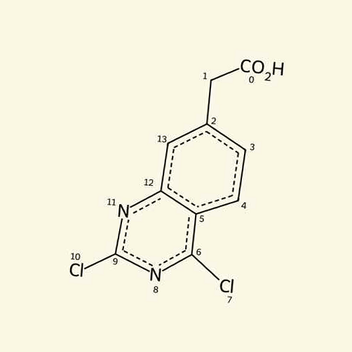 O=C(O)Cc1ccc2c(Cl)nc(Cl)nc2c1